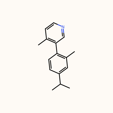 Cc1cc(C(C)C)ccc1-c1cnccc1C